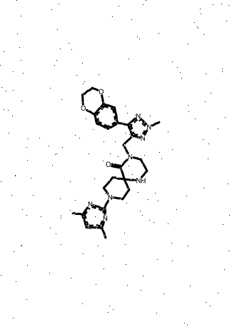 Cc1cc(C)nc(N2CCC3(CC2)NCCN(Cc2nn(C)nc2-c2ccc4c(c2)OCCO4)C3=O)n1